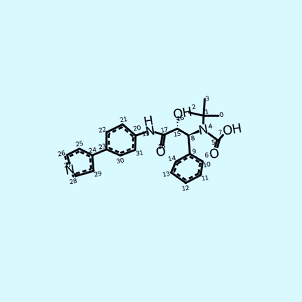 CC(C)(C)N(C(=O)O)[C@@H](c1ccccc1)[C@@H](O)C(=O)Nc1ccc(-c2ccncc2)cc1